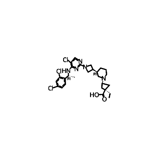 CC[C@]1(C(=O)O)C[C@H](N2CCC[C@H](C3CN(c4ncc(Cl)c(N[C@H](C)c5ccc(Cl)cc5Cl)n4)C3)C2)C1